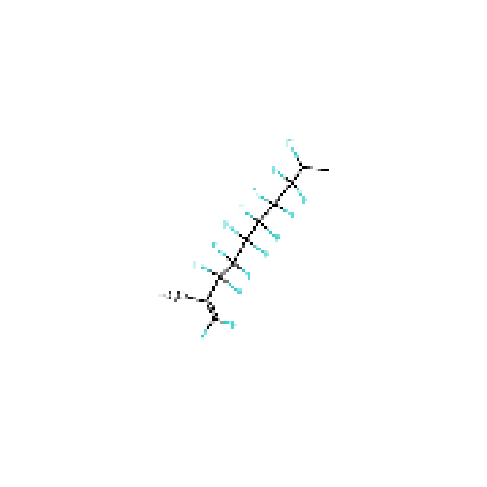 CC(F)C(F)(F)C(F)(F)C(F)(F)C(F)(F)C(F)(F)C(F)(F)C(C(=O)O)=C(F)F